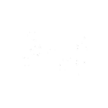 N#Cc1ccc(-c2cccc3c2-c2ccc(-c4ccc(-c5nc(-c6ccccc6)nc(-c6ccccc6)n5)cc4)cc2C32c3ccccc3Oc3ccccc32)cc1